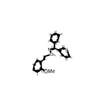 COc1ccccc1CCON=C(c1ccccc1)c1cccnc1